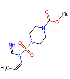 C/C=C\N(C=N)S(=O)(=O)N1CCN(C(=O)OC(C)(C)C)CC1